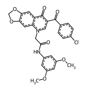 COc1cc(NC(=O)Cn2cc(C(=O)c3ccc(Cl)cc3)c(=O)c3cc4c(cc32)OCO4)cc(OC)c1